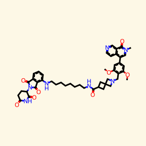 COc1cc(-c2cn(C)c(=O)c3cnccc23)cc(OC)c1CN1CC2(CC(C(=O)NCCCCCCCCNc3cccc4c3C(=O)N(C3CCC(=O)NC3=O)C4=O)C2)C1